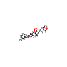 O=C(CCCC1CCOCC1)c1ccc(COCc2cccc(F)c2)cn1